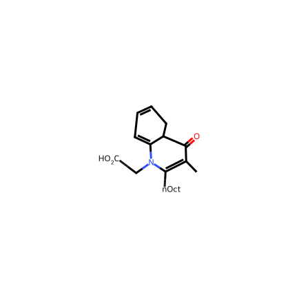 CCCCCCCCC1=C(C)C(=O)C2CC=CC=C2N1CC(=O)O